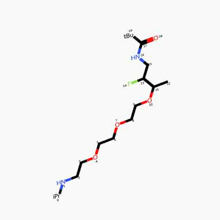 CC(C)NCCOCCOCCOC(C)C(F)CNC(=O)C(C)(C)C